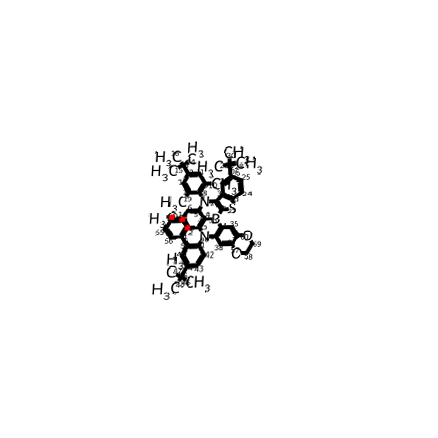 Cc1cc2c3c(c1)N(c1c(C)cc(C(C)(C)C)cc1C)c1c(sc4ccc(C(C)(C)C)cc14)B3c1cc3c(cc1N2c1ccc(C(C)(C)C)cc1-c1ccccc1)OCCO3